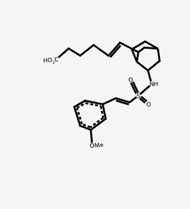 COc1cccc(C=CS(=O)(=O)NC2CC3CCC2C(C=CCCCC(=O)O)C3)c1